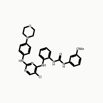 COc1cccc(NC(=O)Nc2ccccc2Nc2nc(Nc3ccc(N4CCOCC4)cc3)ncc2Cl)c1